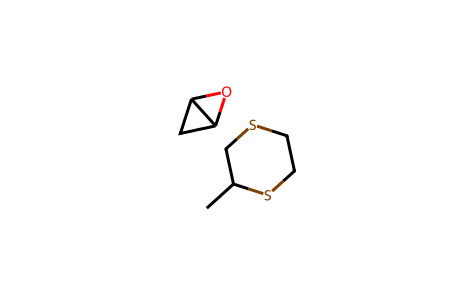 C1C2OC12.CC1CSCCS1